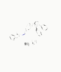 Cl.O.O=C1c2ccccc2CN1C/C=C\CN1CCN(C2=CC=S(c3ccccc3)N2c2ccccc2)CC1